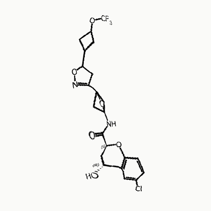 O=C(NC12CC(C3=NOC(C4CC(OC(F)(F)F)C4)C3)(C1)C2)[C@@H]1C[C@@H](O)c2cc(Cl)ccc2O1